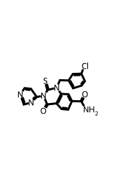 NC(=O)c1ccc2c(=O)n(-c3ccncn3)c(=S)n(Cc3cccc(Cl)c3)c2c1